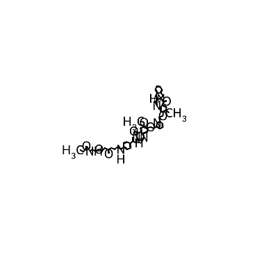 CCC(=O)NCCOCCC(=O)CCCNc1ccc(C2=CN3C(=O)c4cc(OC)c(OCc5cccc(COc6cc7c(cc6C)C(=O)N6Cc8ccccc8C[C@H]6C=N7)n5)cc4N=C[C@@H]3C2)cc1